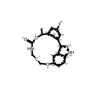 CC1OC(=O)NCCCOc2ccc3[nH]nc(c3c2)-c2cc(F)cc1c2